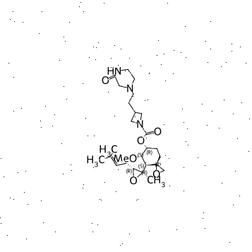 CO[C@@H]1[C@H](OC(=O)N2CC(CCN3CCNC(=O)C3)C2)CC[C@]2(CO2)[C@H]1[C@@]1(C)O[C@@H]1CC=C(C)C